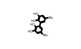 CC(C)(C)c1cc(O)c(O)c(-c2cc(C(C)(C)C)cc(O)c2O)c1